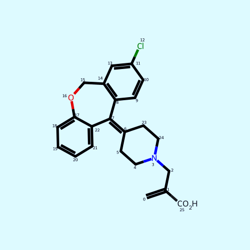 C=C(CN1CCC(=C2c3ccc(Cl)cc3COc3ccccc32)CC1)C(=O)O